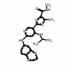 CNC(=O)c1nc(-c2cnc(Nc3ccc4nccnc4c3)cc2NC(C)C)sc1C